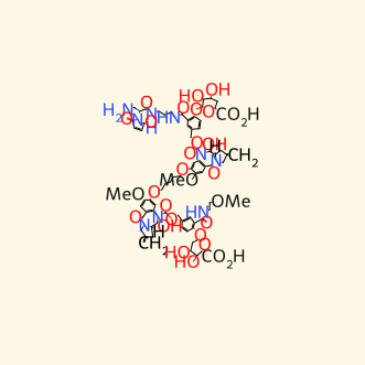 C=C1C[C@H]2C(O)N(C(=O)OCc3ccc(O[C@H]4C[C@@H](O)[C@H](O)[C@@H](C(=O)O)O4)c(C(=O)NCCOC)c3)c3cc(OCCCCCOc4cc5c(cc4OC)C(=O)N4CC(=C)C[C@H]4C(O)N5C(=O)OCc4ccc(O[C@@H]5O[C@H](C(=O)O)C[C@H](O)[C@H]5O)c(C(=O)NCCCNC(=O)[C@H](CN)N5C(=O)C=CC5=O)c4)c(OC)cc3C(=O)N2C1